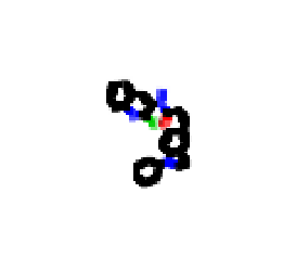 O=C(/C=C\c1ccc2c(ccn2C2CCCCC2)c1)Nc1cc2ccccc2nc1Cl